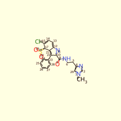 Cn1cnc(CCNC(=O)C2=NC3=CC=C(Cl)C(=S(=O)=O)C3=C2c2ccccc2)c1